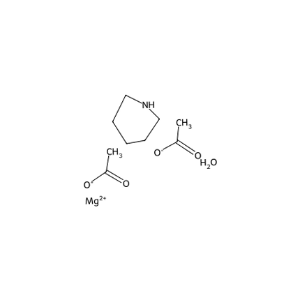 C1CCNCC1.CC(=O)[O-].CC(=O)[O-].O.[Mg+2]